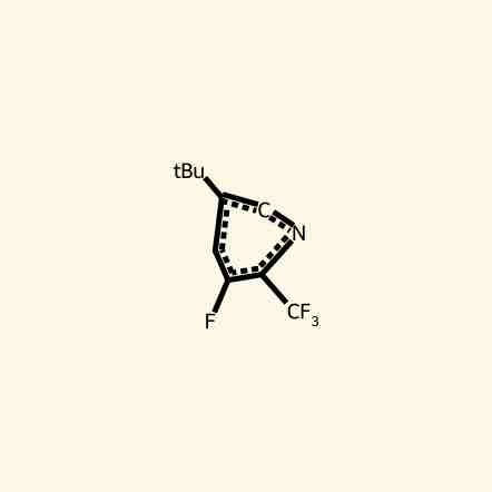 CC(C)(C)c1cnc(C(F)(F)F)c(F)c1